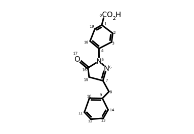 O=C(O)c1ccc(N2N=C(Cc3ccccc3)CC2=O)cc1